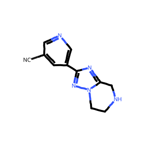 N#Cc1cncc(-c2nc3n(n2)CCNC3)c1